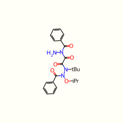 CC(C)ON(C(=O)c1ccccc1)N(C(=O)C(=O)N(N)C(=O)c1ccccc1)C(C)(C)C